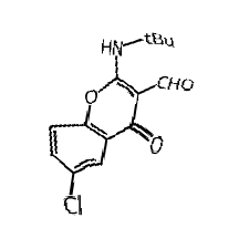 CC(C)(C)Nc1oc2ccc(Cl)cc2c(=O)c1C=O